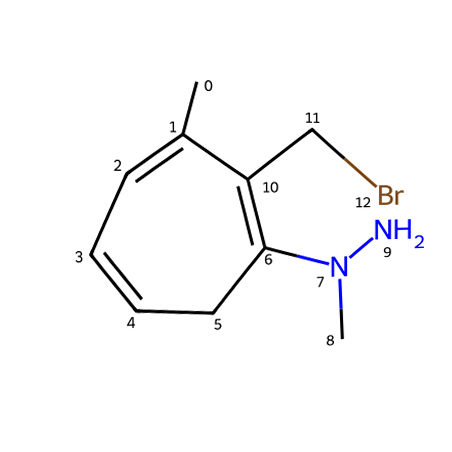 CC1=CC=CCC(N(C)N)=C1CBr